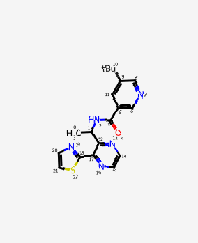 CC(NC(=O)c1cncc(C(C)(C)C)c1)c1nccnc1-c1nccs1